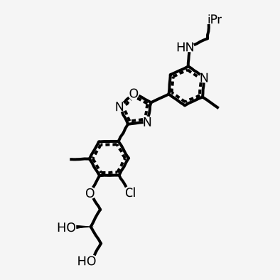 Cc1cc(-c2nc(-c3cc(C)c(OC[C@H](O)CO)c(Cl)c3)no2)cc(NCC(C)C)n1